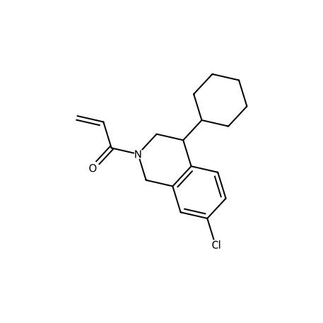 C=CC(=O)N1Cc2cc(Cl)ccc2C(C2CCCCC2)C1